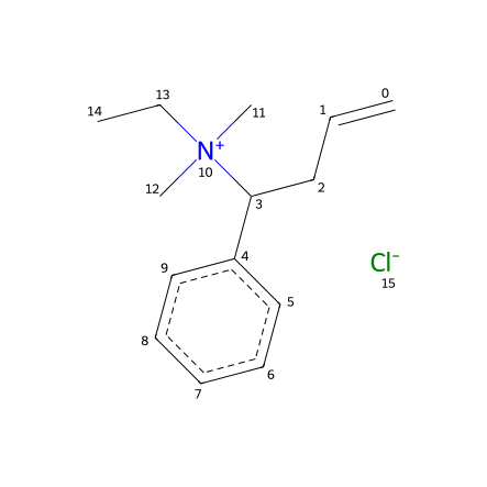 C=CCC(c1ccccc1)[N+](C)(C)CC.[Cl-]